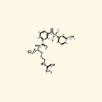 N=C(N)NCCC[C@H](NC(=O)c1cccc(NS(=O)(=O)c2cccc(N)c2)c1)C(=O)O